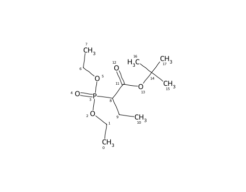 CCOP(=O)(OCC)C(CC)C(=O)OC(C)(C)C